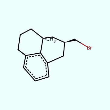 C[C@@]12CCCc3cccc(c31)C[C@H](CBr)C2